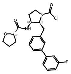 O=C(N[C@H]1CCN(C(=O)Cl)[C@H]1Cc1cccc(-c2cccc(F)c2)c1)[C@@H]1CCCO1